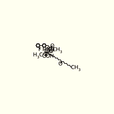 CCCCCCCC(=O)CCCCCCC=C[C@H](C(=O)N[C@@H](Cc1ccc(-c2ccccc2F)cc1)C(=O)OC)[C@@](O)(CCC)C(=O)O